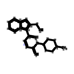 CN1CCC(OC(=N)/C=C\C(=N)c2c(CO)cc3ccccn23)CC1